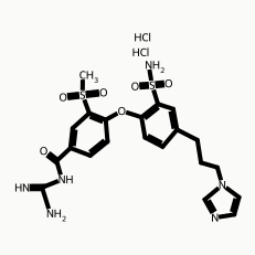 CS(=O)(=O)c1cc(C(=O)NC(=N)N)ccc1Oc1ccc(CCCn2ccnc2)cc1S(N)(=O)=O.Cl.Cl